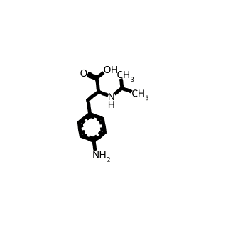 CC(C)NC(Cc1ccc(N)cc1)C(=O)O